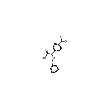 O=C(Cl)c1ccc(C(OCc2ccccc2)C(=O)O)cc1